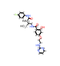 O=C(Nc1ccc(F)cc1)[AsH][C@@H](CNC(=O)c1ccc(OCCNc2ncccn2)cc1O)C(=O)O